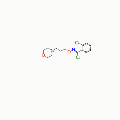 ClC(=NOCCCN1CCOCC1)c1ccccc1Cl